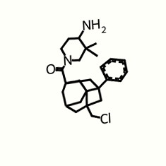 CC1(C)CN(C(=O)C23CC4CC5(CCl)CC(c6ccccc6)(C2)C5(C4)C3)CCC1N